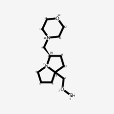 SOCC12CCCN1[C@@H](CN1CCOCC1)CC2